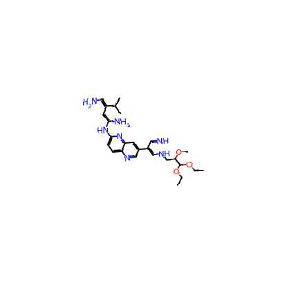 CCOC(OCC)C(CN/C=C(\C=N)c1cnc2ccc(N/C(N)=C/C(=C\N)C(C)C)nc2c1)OC